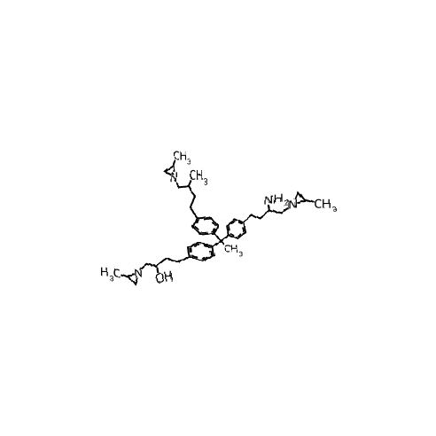 CC(CCc1ccc(C(C)(c2ccc(CCC(N)CN3CC3C)cc2)c2ccc(CCC(O)CN3CC3C)cc2)cc1)CN1CC1C